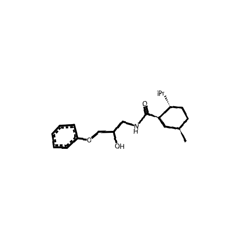 CC(C)[C@@H]1CC[C@@H](C)C[C@H]1C(=O)NCC(O)COc1ccccc1